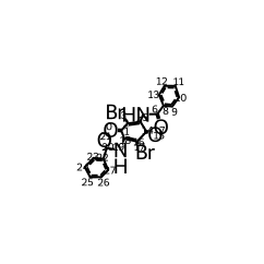 O=C1C(Br)=C(NC(=O)c2ccccc2)C(=O)C(Br)=C1NC(=O)c1ccccc1